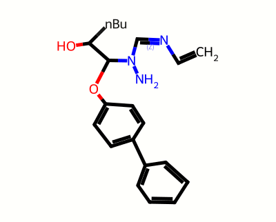 C=C/N=C\N(N)C(Oc1ccc(-c2ccccc2)cc1)C(O)CCCC